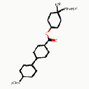 CCCCCCCCCCC1CCC(C2CCC(C(=O)OC3CCC(C#N)(CCCCCCC)CC3)CC2)CC1